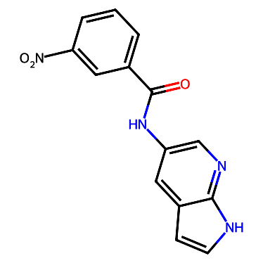 O=C(Nc1cnc2[nH]ccc2c1)c1cccc([N+](=O)[O-])c1